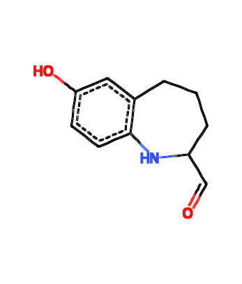 O=CC1CCCc2cc(O)ccc2N1